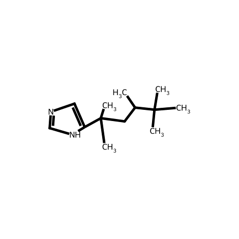 CC(CC(C)(C)c1cnc[nH]1)C(C)(C)C